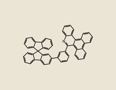 c1cc(-c2ccc3c(c2)C2(c4ccccc4-c4ccccc42)c2ccccc2-3)cc(-c2nc3ccccc3c3c4ccccc4c4ccccc4c23)c1